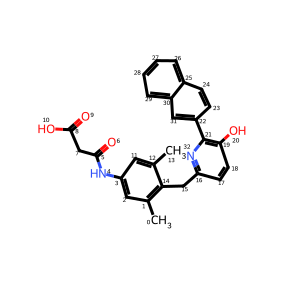 Cc1cc(NC(=O)CC(=O)O)cc(C)c1Cc1ccc(O)c(-c2ccc3ccccc3c2)n1